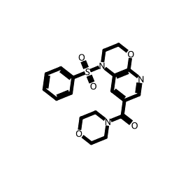 O=C(c1cnc2c(c1)N(S(=O)(=O)c1ccccc1)CCO2)N1CCOCC1